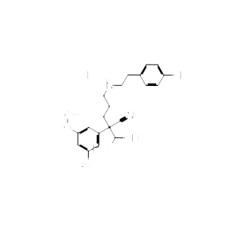 COc1cc(OC)cc(C(C#N)(CCCN(C)CCc2ccc(Cl)cc2)C(C)C)c1